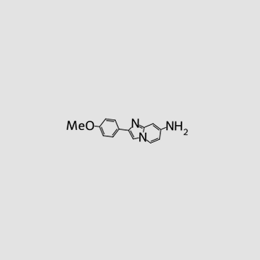 COc1ccc(-c2cn3ccc(N)cc3n2)cc1